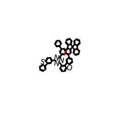 c1ccc(-c2cccc(-c3nc(-c4ccc5sc6ccccc6c5c4)nc(-c4cccc5oc6ccc(-c7ccc8c(c7)C7(c9ccccc9-c9ccccc97)c7ccccc7-8)cc6c45)n3)c2)cc1